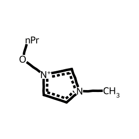 CCCO[n+]1ccn(C)c1